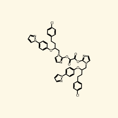 O=C(Oc1nccn1CC(CCc1ccc(Cl)cc1)Oc1ccc(-n2cccn2)cc1)C(=O)Oc1nccn1CC(CCc1ccc(Cl)cc1)Oc1ccc(-n2cccn2)cc1